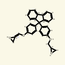 C(/Oc1ccc(C2(c3ccc(OCC4CO4)cc3)c3ccccc3-c3ccccc32)cc1)=C1/CO1